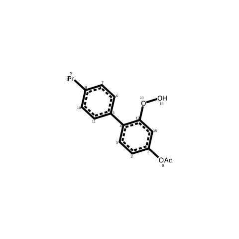 CC(=O)Oc1ccc(-c2ccc(C(C)C)cc2)c(OO)c1